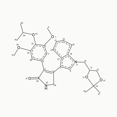 COc1cc(C2=C(c3cn(CC4COC(C)(C)O4)c4ccccc34)CNC2=O)cc(OC)c1OC(C)C